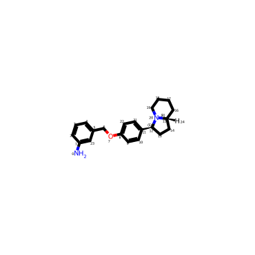 Nc1cccc(COc2ccc([C@@H]3CC[C@H]4CCCCN43)cc2)c1